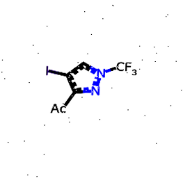 CC(=O)c1nn(C(F)(F)F)cc1I